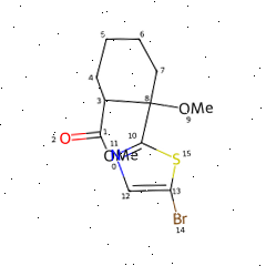 COC(=O)C1CCCCC1(OC)c1ncc(Br)s1